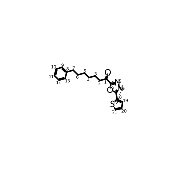 O=C(CCCCCCc1ccccc1)c1nnc(-c2cccs2)o1